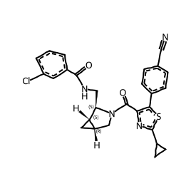 N#Cc1ccc(-c2sc(C3CC3)nc2C(=O)N2C[C@@H]3C[C@@H]3[C@H]2CNC(=O)c2cccc(Cl)c2)cc1